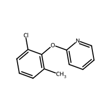 Cc1cccc(Cl)c1Oc1ccccn1